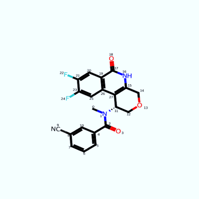 CN(C(=O)c1cccc(C#N)c1)[C@H]1COCc2[nH]c(=O)c3cc(F)c(F)cc3c21